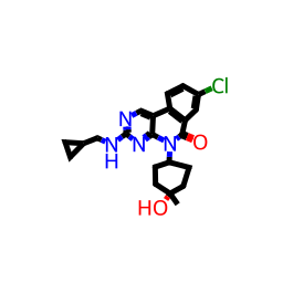 CC1(O)CCC(n2c(=O)c3cc(Cl)ccc3c3cnc(NCC4CC4)nc32)CC1